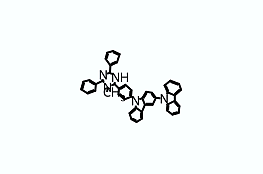 CN1C(c2ccccc2)=NC(c2ccccc2)NC1c1ccc(-n2c3ccccc3c3cc(-n4c5ccccc5c5ccccc54)ccc32)cc1